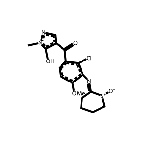 COc1ccc(C(=O)c2cnn(C)c2O)c(Cl)c1N=C1CCCC[S+]1[O-]